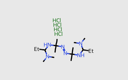 CCC(NC(C)(C)/N=N/C(C)(C)NC(CC)N(C)C)N(C)C.Cl.Cl.Cl.Cl